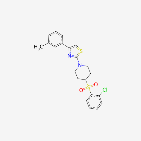 Cc1cccc(-c2csc(N3CCC(S(=O)(=O)c4ccccc4Cl)CC3)n2)c1